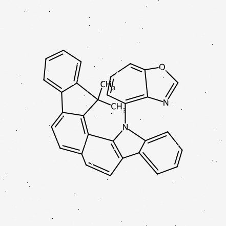 CC1(C)c2ccccc2-c2ccc3ccc4c5ccccc5n(-c5cccc6ocnc56)c4c3c21